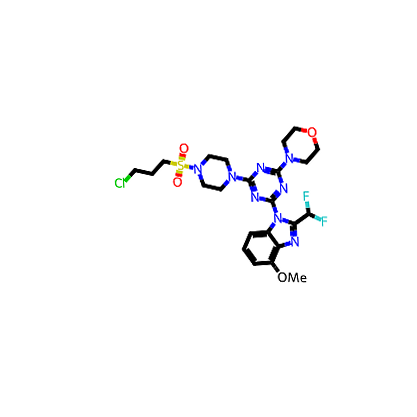 COc1cccc2c1nc(C(F)F)n2-c1nc(N2CCOCC2)nc(N2CCN(S(=O)(=O)CCCCl)CC2)n1